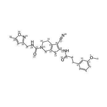 COc1cccc(CCC(=O)Nc2sc3c(c2C#N)CCN(C(=O)NCc2cc(C)on2)C3)c1